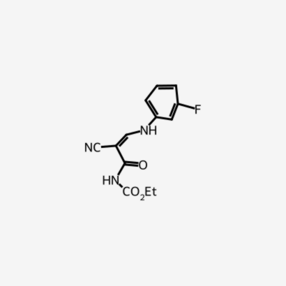 CCOC(=O)NC(=O)/C(C#N)=C\Nc1cccc(F)c1